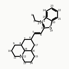 CC[n+]1c(C=CC2CC3CCCN4CCCC(C2)C34)sc2ccccc21